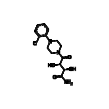 NC(=O)[C@H](O)[C@@H](O)C(=O)N1CCN(c2ccccc2Cl)CC1